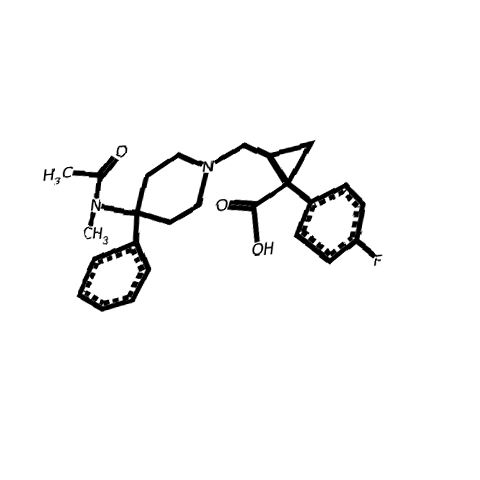 CC(=O)N(C)C1(c2ccccc2)CCN(CC2CC2(C(=O)O)c2ccc(F)cc2)CC1